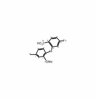 COc1cc(C)ccc1Sc1cc(F)ccc1C(=O)O